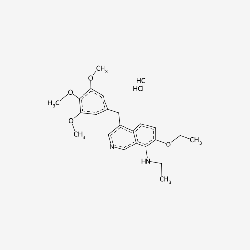 CCNc1c(OCC)ccc2c(Cc3cc(OC)c(OC)c(OC)c3)cncc12.Cl.Cl